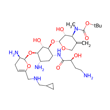 C=C1CO[C@H](O[C@@H]2[C@@H](O)[C@H](O[C@H]3OC(CNCC4CC4)=CC[C@H]3N)[C@@H](N)C[C@H]2NC(=O)[C@@H](O)CCN)[C@H](O)[C@H]1N(C)C(=O)OC(C)(C)C